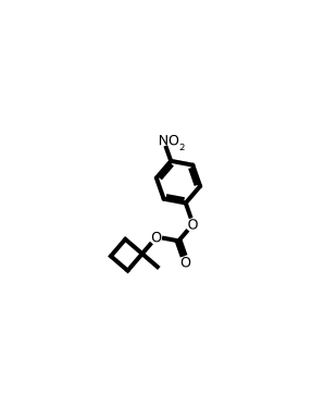 CC1(OC(=O)Oc2ccc([N+](=O)[O-])cc2)CCC1